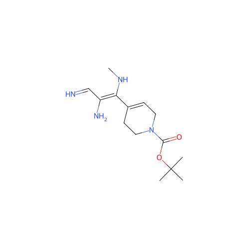 CN/C(C1=CCN(C(=O)OC(C)(C)C)CC1)=C(/N)C=N